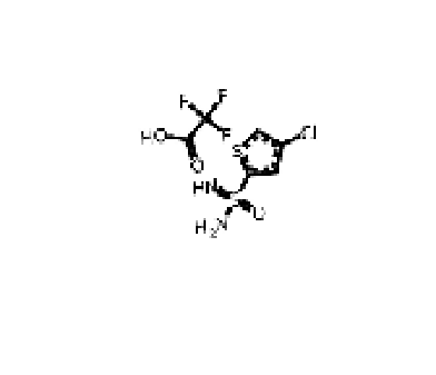 N=S(N)(=O)c1cc(Cl)cs1.O=C(O)C(F)(F)F